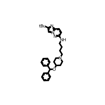 CC(C)(C)c1cn2nc(NCCCCN3CCC(OC(c4ccccc4)c4ccccc4)CC3)ccc2n1